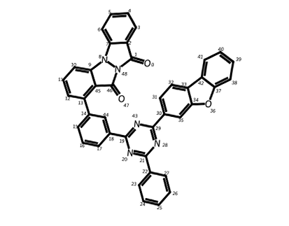 O=c1c2ccccc2n2c3cccc(-c4cccc(-c5nc(-c6ccccc6)nc(-c6ccc7c(c6)oc6ccccc67)n5)c4)c3c(=O)n12